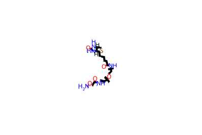 CC(C)(CCOC(C)(C)CCNC(=O)CON)NC(=O)CCCCC1SC[C@@H]2NC(=O)N[C@H]12